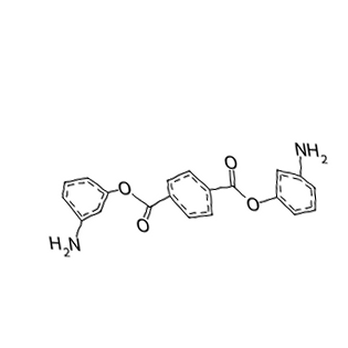 Nc1cccc(OC(=O)c2ccc(C(=O)Oc3cccc(N)c3)cc2)c1